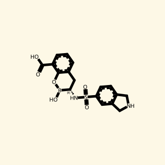 O=C(O)c1cccc2c1OB(O)[C@@H](NS(=O)(=O)c1ccc3c(c1)CNC3)C2